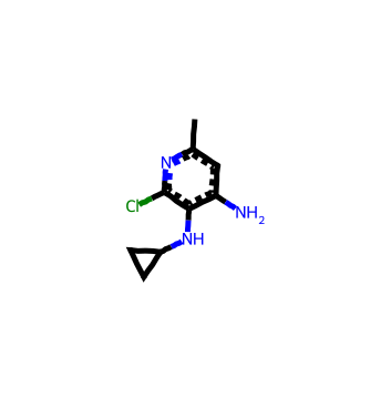 Cc1cc(N)c(NC2CC2)c(Cl)n1